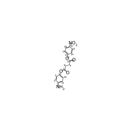 Nc1ccc(OC(=O)CCC(=O)Oc2ccc([N+](=O)[O-])cc2)cc1